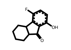 O=C1c2c(O)ccc(F)c2C2CCCCC12